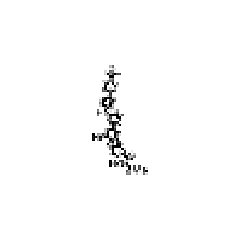 COC[C@H](O)C(=O)N1CC[C@H](Oc2ccc(-c3nccc(Nc4ccc(N5CCN(C6COC6)CC5)cc4)n3)cc2C#N)[C@H](F)C1